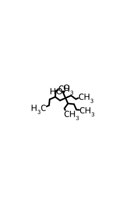 CCCC(CC)CC(CCC)(C(=O)O)C(CC)CCC